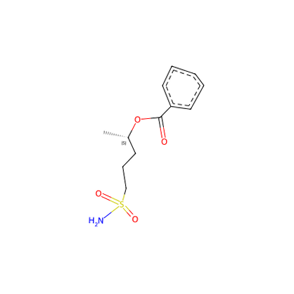 C[C@@H](CCCS(N)(=O)=O)OC(=O)c1ccccc1